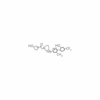 Cc1cc(N[C@@H]2CCCN(CC(=O)N3CCC(O)C3)C2)nnc1-c1ccc(C(F)(F)F)cc1O